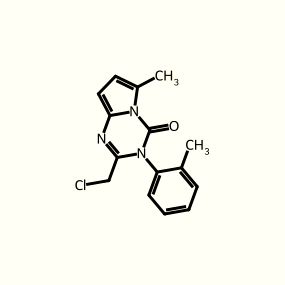 Cc1ccccc1-n1c(CCl)nc2ccc(C)n2c1=O